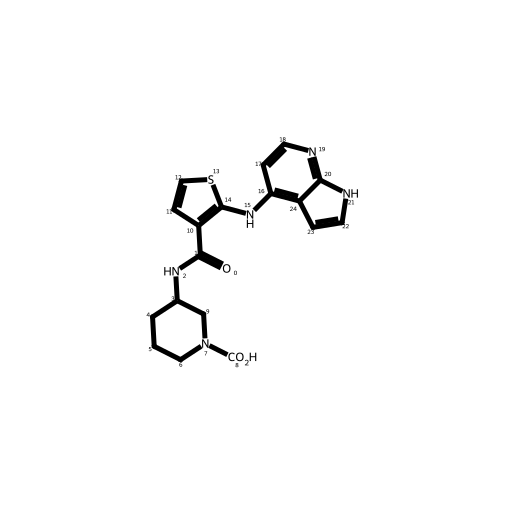 O=C(NC1CCCN(C(=O)O)C1)c1ccsc1Nc1ccnc2[nH]ccc12